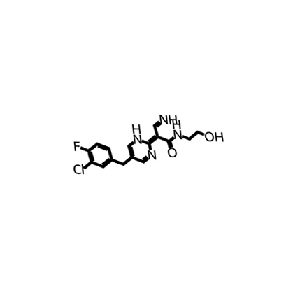 N=C/C(C(=O)NCCO)=C1/N=CC(Cc2ccc(F)c(Cl)c2)=CN1